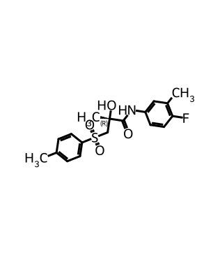 Cc1ccc(S(=O)(=O)C[C@](C)(O)C(=O)Nc2ccc(F)c(C)c2)cc1